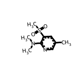 Cc1cnc(N(C)C)c(S(C)(=O)=O)c1